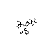 O=P(OCC(CBr)(CBr)CBr)(OCC(CBr)(CBr)CBr)OC(Br)C(Br)C(Br)C(Br)Br